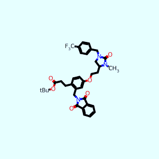 CN1C(=O)N(Cc2ccc(C(F)(F)F)cc2)CC1CCOc1ccc(CCC(=O)OC(C)(C)C)c(CN2C(=O)c3ccccc3C2=O)c1